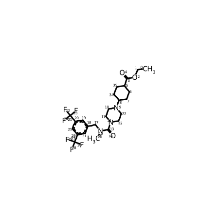 CCOC(=O)C1CCC(N2CCN(C(=O)N(C)Cc3cc(C(F)(F)F)cc(C(F)(F)F)c3)CC2)CC1